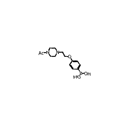 CC(=O)N1CCN(CCOc2ccc(B(O)O)cc2)CC1